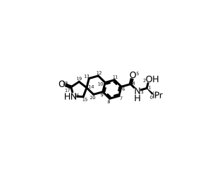 CC(C)[C@H](O)NC(=O)c1ccc2c(c1)CCC1(CNC(=O)C1)C2